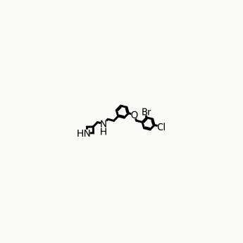 Clc1ccc(COc2cccc(CCNCC3CNC3)c2)c(Br)c1